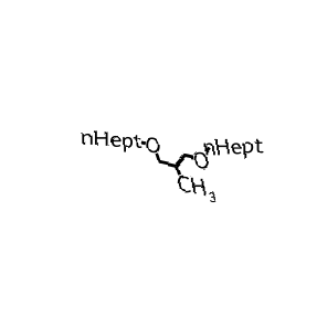 CCCCCCCOCC(C)COCCCCCCC